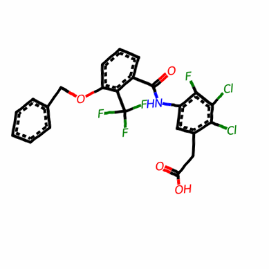 O=C(O)Cc1cc(NC(=O)c2cccc(OCc3ccccc3)c2C(F)(F)F)c(F)c(Cl)c1Cl